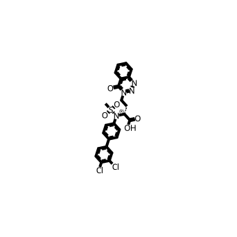 CS(=O)(=O)N(c1ccc(-c2ccc(Cl)c(Cl)c2)cc1)[C@H](CCn1nnc2ccccc2c1=O)C(=O)O